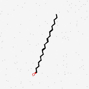 CCCCC/C=C/C/C=C/C/C=C/CCCCCCC=O